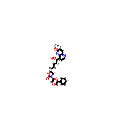 COc1ccc2nccc([C@@H](O)CCCC[C@@H]3CN(C4=COC=C(C5=CC=CCC5)O4)C(=O)O3)c2n1